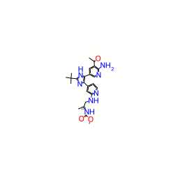 COC(=O)N[C@@H](C)CNc1cc(-c2nc(C(C)(C)C)[nH]c2-c2cnc(N)c(C(C)=O)c2)ccn1